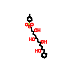 Cc1ccc(S(=O)(=O)OCCC(O)CCC(O)CCC(O)CCC(O)Cc2ccccc2)cc1